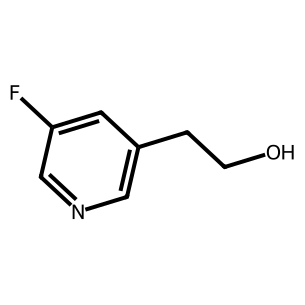 OCCc1cncc(F)c1